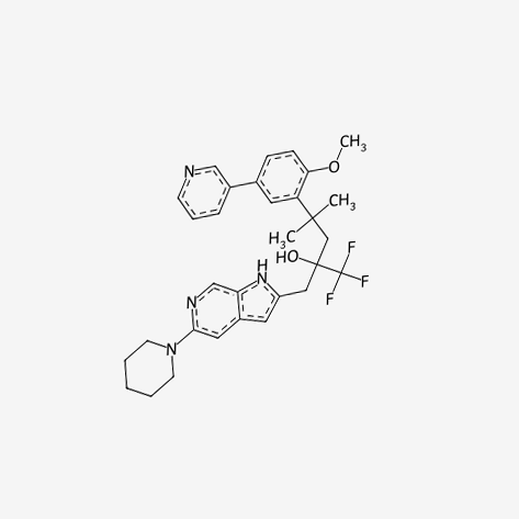 COc1ccc(-c2cccnc2)cc1C(C)(C)CC(O)(Cc1cc2cc(N3CCCCC3)ncc2[nH]1)C(F)(F)F